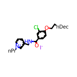 CCCCCCCCCCCCOc1ccc(C(=O)NCc2ccc[n+](CCC)c2)cc1Cl.[I-]